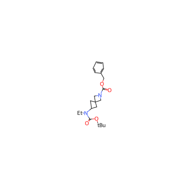 CCN(C(=O)OC(C)(C)C)C1CC2(C1)CN(C(=O)OCc1ccccc1)C2